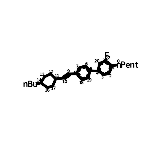 CCCCCc1ccc(-c2ccc(C#CC3CCC(CCCC)CC3)cc2)cc1F